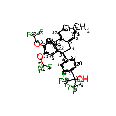 C=C/C=C(CC(c1ccc(C(O)(C(F)(F)F)C(F)(F)F)cc1)c1ccc(OC(F)F)c(OC(F)F)c1)\C(C)=C/C